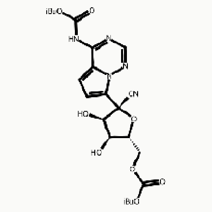 CC(C)COC(=O)Nc1ncnn2c([C@]3(C#N)O[C@H](COC(=O)OCC(C)C)[C@@H](O)[C@H]3O)ccc12